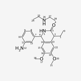 CCC1C(=O)NC(c2cccc(N)c2)c2cc(OC)c(OC)cc21.CCNCC